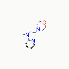 CN(CCN1CCOCC1)c1[c]cccn1